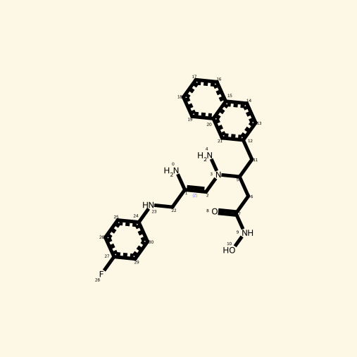 N/C(=C\N(N)C(CC(=O)NO)Cc1ccc2ccccc2c1)CNc1ccc(F)cc1